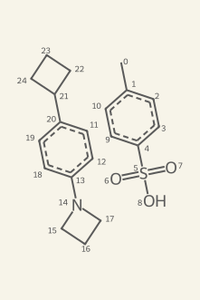 Cc1ccc(S(=O)(=O)O)cc1.c1cc(N2CCC2)ccc1C1CCC1